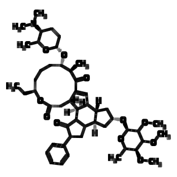 CC[C@H]1CCC[C@H](O[C@H]2CC[C@H](N(C)C)C(C)O2)[C@@H](C)C(=O)C2=C[C@H]3[C@@H]4C[C@H](O[C@@H]5OC(C)[C@H](OC)C(OC)C5OC)C[C@H]4C4CC(c5ccccc5)C(=O)C4[C@H]3[C@@H]2CC(=O)O1